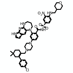 CC1(C)CCC(CN2CCN(c3ccc(C(=O)NS(=O)(=O)c4ccc(NCC5CCOCC5)c([N+](=O)[O-])c4)c(N4CCCNc5nc6[nH]ccc6cc54)c3)CC2)=C(c2ccc(Cl)cc2)C1